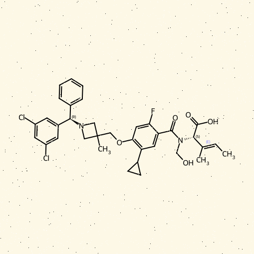 C/C=C(\C)[C@@H](C(=O)O)N(CO)C(=O)c1cc(C2CC2)c(OCC2(C)CN([C@H](c3ccccc3)c3cc(Cl)cc(Cl)c3)C2)cc1F